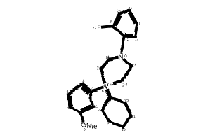 COc1cccc([N+]2(C3CCCCC3)CCN(c3ccccc3F)CC2)c1